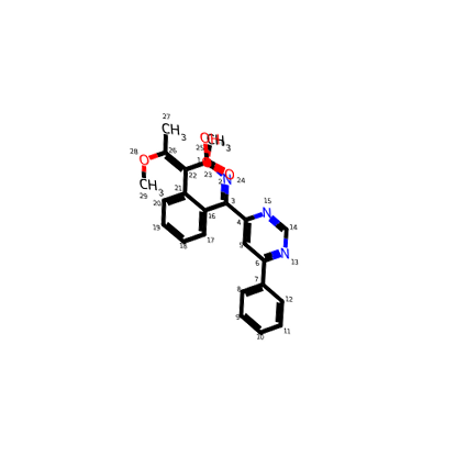 CO/N=C(/c1cc(-c2ccccc2)ncn1)c1ccccc1/C(C(=O)O)=C(/C)OC